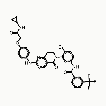 O=C(COc1ccc(Nc2ncc3c(n2)CCN(c2cc(NC(=O)c4cccc(C(F)(F)F)c4)ccc2Cl)C3=O)cc1)NC1CC1